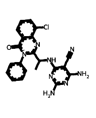 CC(Nc1nc(N)nc(N)c1C#N)c1nc2c(Cl)cccc2c(=O)n1-c1ccccc1